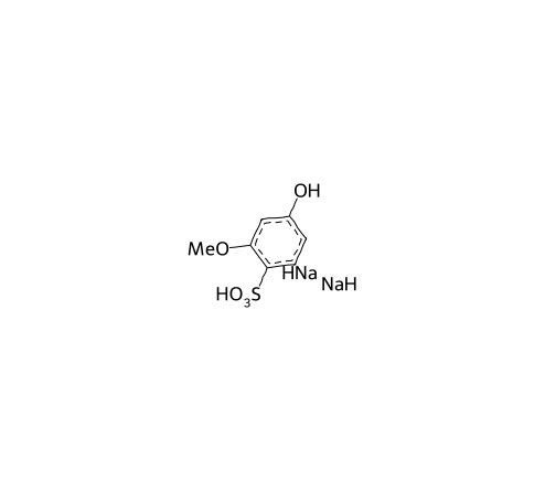 COc1cc(O)ccc1S(=O)(=O)O.[NaH].[NaH]